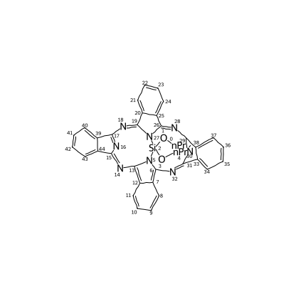 CCCO[Si]1(OCCC)n2c3c4ccccc4c2/N=C2N=C(/N=c4/c5ccccc5/c(n41)=N/C1=NC(=N\3)/c3ccccc31)c1ccccc1\2